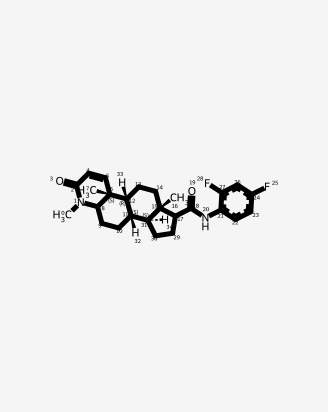 CN1C(=O)C=C[C@@]2(C)C1CC[C@@H]1[C@H]2CC[C@]2(C)C(C(=O)Nc3ccc(F)cc3F)CC[C@@H]12